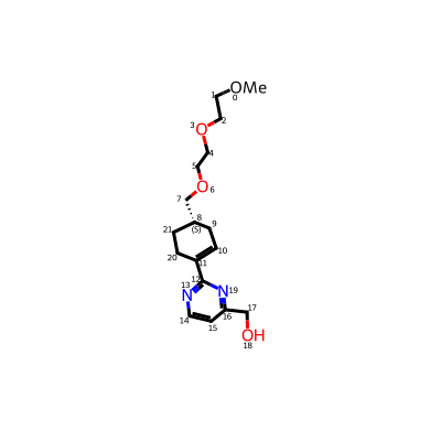 COCCOCCOC[C@@H]1CC=C(c2nccc(CO)n2)CC1